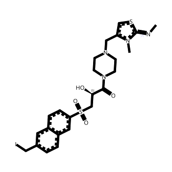 C/N=c1\scc(CN2CCN(C(=O)[C@H](O)CS(=O)(=O)c3ccc4cc(CI)ccc4c3)CC2)n1C